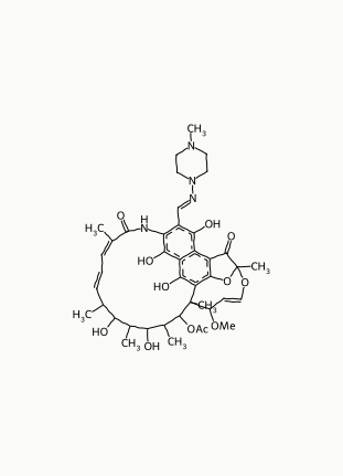 COC1/C=C/OC2(C)Oc3c4c(O)c5c(O)c(c(/C=N/N6CCN(C)CC6)c(O)c5c3C2=O)NC(=O)/C(C)=C\C=C\C(C)C(O)C(C)C(O)C(C)C(OC(C)=O)C41C